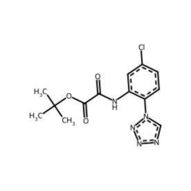 CC(C)(C)OC(=O)C(=O)Nc1cc(Cl)ccc1-n1cnnn1